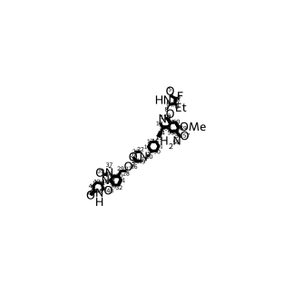 CC[C@@H]1[C@H](F)C(=O)N[C@@H]1COc1ncc(C#C[C@H]2CC[C@H](CN3CCO[C@@H](COCCc4cccc5c4n(C)c(=O)n5C4CCC(=O)NC4=O)C3)CC2)c2cc(C(N)=O)c(OC)cc12